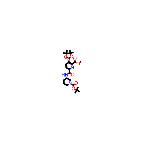 COC(=O)c1nc(C(=O)N[C@H]2CCCN(C(=O)OC(C)(C)C)C2)ccc1B1OC(C)(C)C(C)(C)O1